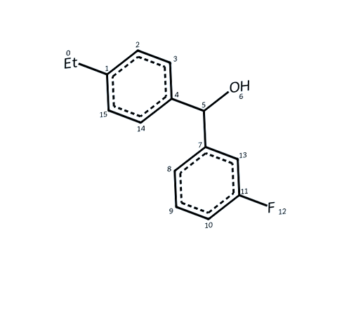 CCc1ccc(C(O)c2cccc(F)c2)cc1